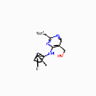 CSc1ncc(CO)c(NC23CC(C2)[C@H]3C)n1